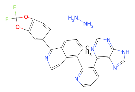 Cc1ccc2c(-c3ccc4c(c3)OC(F)(F)O4)nccc2c1-c1ncccc1-c1ncnc2[nH]cnc12.NN